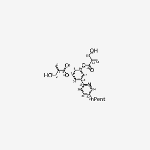 C=C(CO)C(=O)Oc1cc(OC(=O)C(=C)CO)cc(-c2ccc(CCCCC)cn2)c1